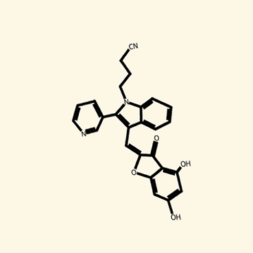 N#CCCCn1c(-c2cccnc2)c(C=C2Oc3cc(O)cc(O)c3C2=O)c2ccccc21